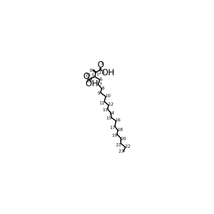 C=C(C(=O)O)C(CCCCCCCCCCCCCCCCCC)C(=O)O